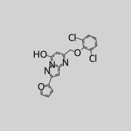 Oc1cc(COc2c(Cl)cccc2Cl)nc2cc(-c3ccco3)nn12